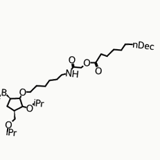 B[C@@H]1C[C@H](COC(C)C)C(OC(C)C)C1OCCCCCCNC(=O)COC(=O)CCCCCCCCCCCCCCC